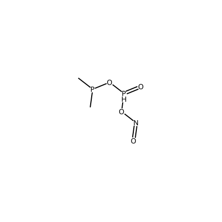 CP(C)O[PH](=O)ON=O